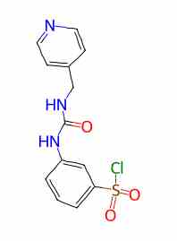 O=C(NCc1ccncc1)Nc1cccc(S(=O)(=O)Cl)c1